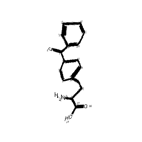 NC(Cc1ccc(C(=O)c2ccccc2)cc1)C(=O)O